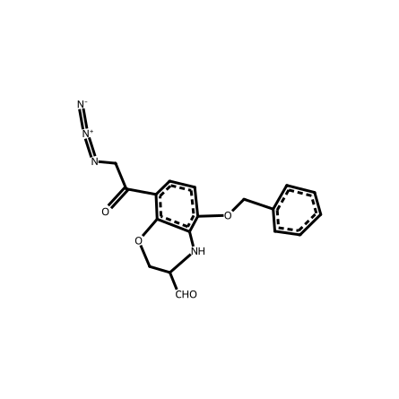 [N-]=[N+]=NCC(=O)c1ccc(OCc2ccccc2)c2c1OCC(C=O)N2